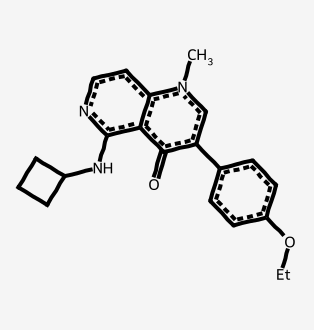 CCOc1ccc(-c2cn(C)c3ccnc(NC4CCC4)c3c2=O)cc1